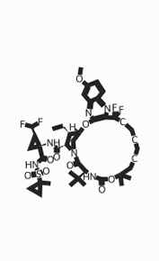 CC[C@@H]1[C@@H]2CN(C(=O)[C@H](C(C)(C)C)NC(=O)OC(C)(C)CCCCCCC(F)(F)c3nc4ccc(OC)cc4nc3O2)[C@@H]1C(=O)N[C@]1(C(=O)NS(=O)(=O)C2(C)CC2)C[C@H]1C(F)F